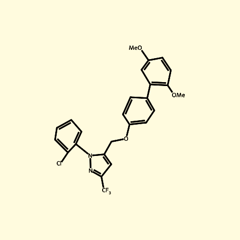 COc1ccc(OC)c(-c2ccc(OCc3cc(C(F)(F)F)nn3-c3ccccc3Cl)cc2)c1